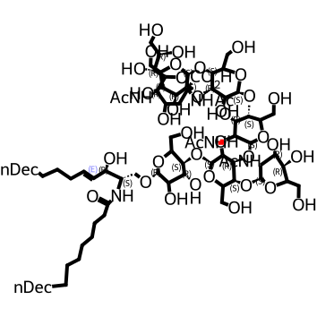 CCCCCCCCCCCCC/C=C/[C@@H](O)[C@H](CO[C@@H]1OC(CO)[C@@H](O[C@@H]2OC(CO)[C@H](O[C@@H]3OC(CO)[C@H](O)[C@H](O)C3NC(C)=O)[C@H](O[C@@H]3OC(CO)[C@@H](O[C@@H]4OC(CO)[C@H](O[C@@H]5OC(CO)[C@H](O)[C@H](O)C5NC(C)=O)[C@H](O[C@]5(C(=O)O)CC(O)[C@@H](NC(C)=O)C([C@H](O)[C@H](O)CO)O5)C4O)[C@H](O)C3NC(C)=O)C2O)[C@H](O)C1O)NC(=O)CCCCCCCCCCCCCCCCC